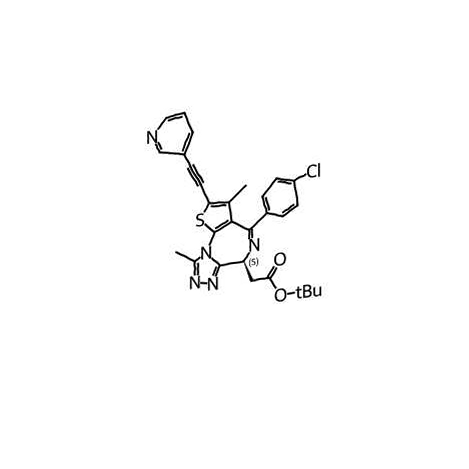 Cc1c(C#Cc2cccnc2)sc2c1C(c1ccc(Cl)cc1)=N[C@@H](CC(=O)OC(C)(C)C)c1nnc(C)n1-2